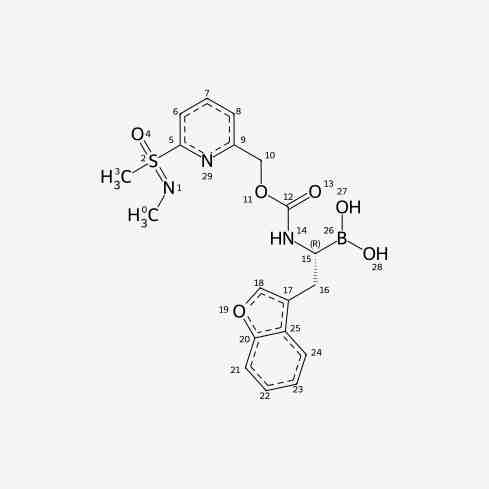 CN=S(C)(=O)c1cccc(COC(=O)N[C@@H](Cc2coc3ccccc23)B(O)O)n1